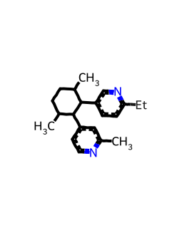 CCc1ccc(C2C(C)CCC(C)C2c2ccnc(C)c2)cn1